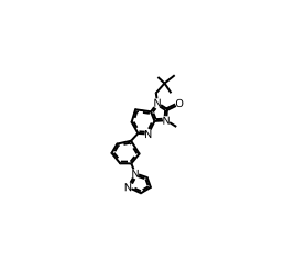 Cn1c(=O)n(CC(C)(C)C)c2ccc(-c3cccc(-n4cccn4)c3)nc21